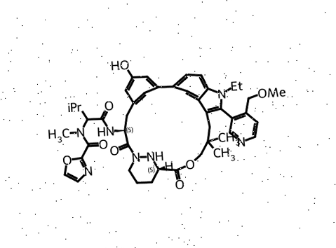 CCn1c(-c2cnccc2COC)c2c3cc(ccc31)-c1cc(O)cc(c1)C[C@H](NC(=O)C(C(C)C)N(C)C(=O)c1ncco1)C(=O)N1CCC[C@H](N1)C(=O)OCC(C)(C)C2